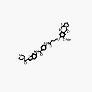 COc1cc2c(cc1OCCCC(=O)Nc1ccc(C(=O)Nc3ccc4cc(C(=O)N5CCSCC5)oc4c3)cc1)N=C[C@@H]1CCCN1C2=O